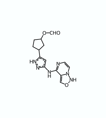 O=COC1CCC(c2cc(NC3=NC=CN4NOC=C34)n[nH]2)C1